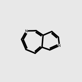 C1=CC=c2cnccc2=CN=1